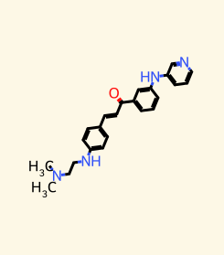 CN(C)CCNc1ccc(/C=C/C(=O)c2cccc(Nc3cccnc3)c2)cc1